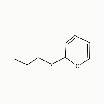 CCC[CH]C1C=CC=CO1